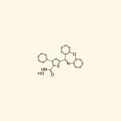 O=C(NO)c1sc(C2=Nc3ccccc3Oc3ccccc32)cc1-c1ccccc1